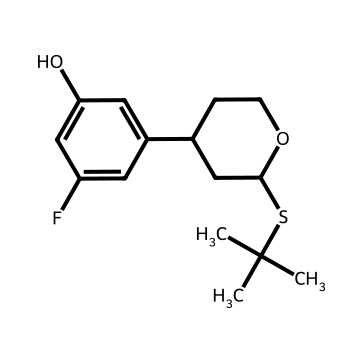 CC(C)(C)SC1CC(c2cc(O)cc(F)c2)CCO1